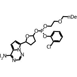 CCCCCCCCCCCOCCOP(Oc1ccccc1Cl)OC1CCC(c2ccc3c(N)ncnn23)O1